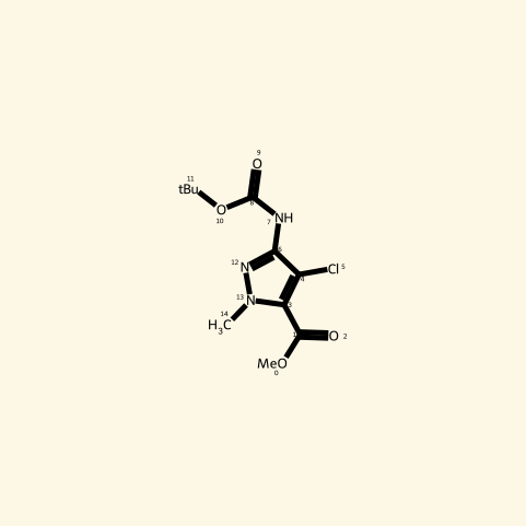 COC(=O)c1c(Cl)c(NC(=O)OC(C)(C)C)nn1C